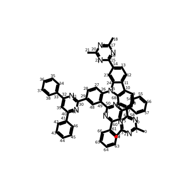 Cc1nc(C)nc(-c2ccc3c4ccc(-c5nc(C)nc(C)n5)cc4n(-c4ccc(-c5nc(-c6ccccc6)cc(-c6ccccc6)n5)cc4-c4nc(-c5ccccc5)cc(-c5ccccc5)n4)c3c2)n1